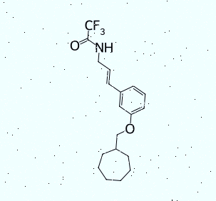 O=C(NCC=Cc1cccc(OCC2CCCCCC2)c1)C(F)(F)F